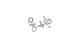 Cc1ccccc1S(=O)(=O)N1CCCCC1CNC(=O)NC12C[C@@H]3CC4C[C@H](C1)C2(C4)C3